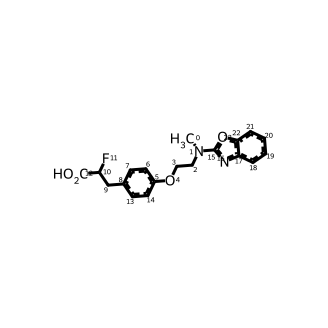 CN(CCOc1ccc(CC(F)C(=O)O)cc1)c1nc2ccccc2o1